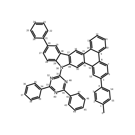 Cc1ccc(-c2ccc3c4ccccc4c4cc5c6cc(-c7ccccc7)ccc6n(-c6nc(-c7ccccc7)nc(-c7ccccc7)n6)c5cc4c3c2)cc1